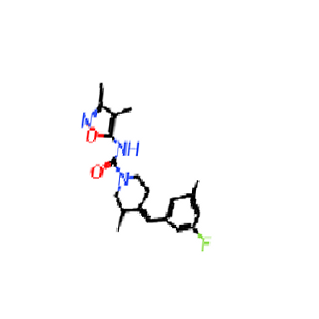 Cc1cc(F)cc(C=C2CCN(C(=O)Nc3onc(C)c3C)CC2C)c1